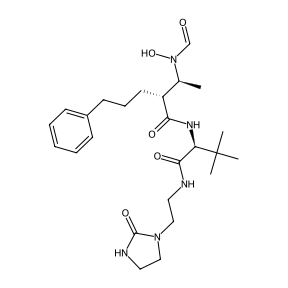 C[C@@H]([C@@H](CCCc1ccccc1)C(=O)N[C@H](C(=O)NCCN1CCNC1=O)C(C)(C)C)N(O)C=O